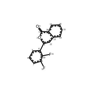 O=c1oc(-c2cccc(F)c2F)cc2ccccc12